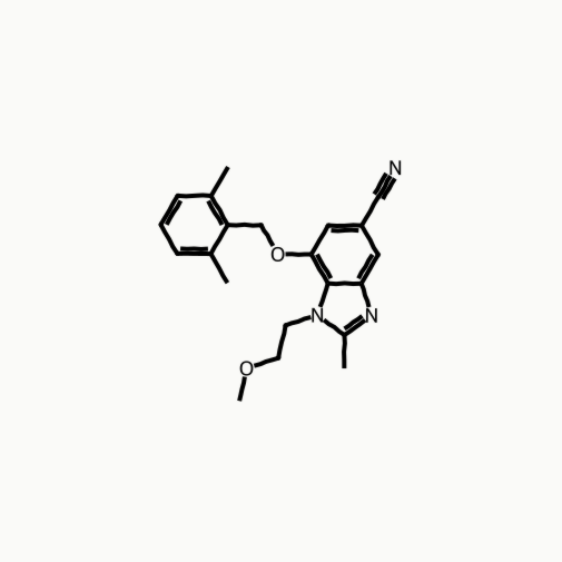 COCCn1c(C)nc2cc(C#N)cc(OCc3c(C)cccc3C)c21